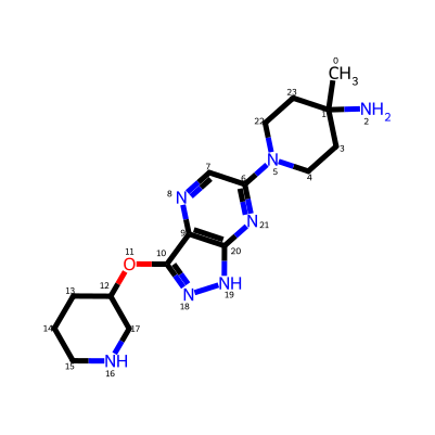 CC1(N)CCN(c2cnc3c(OC4CCCNC4)n[nH]c3n2)CC1